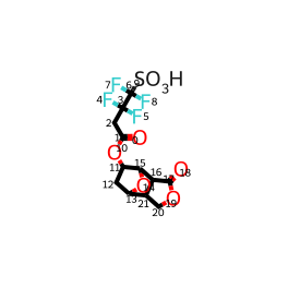 O=C(CC(F)(F)C(F)(F)S(=O)(=O)O)OC1CC2OC1C1C(=O)OCC21